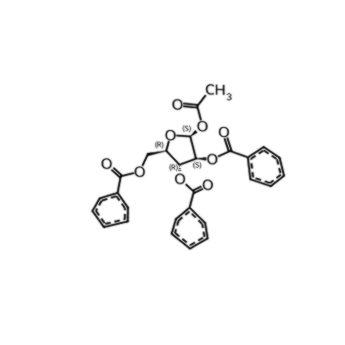 CC(=O)O[C@@H]1O[C@H](COC(=O)c2ccccc2)[C@@H](OC(=O)c2ccccc2)[C@@H]1OC(=O)c1ccccc1